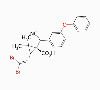 CC1(C)[C@@H](C=C(Br)Br)[C@@]1(C(=O)O)C(C#N)c1cccc(Oc2ccccc2)c1